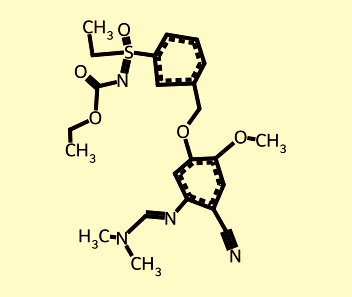 CCOC(=O)N=S(=O)(CC)c1cccc(COc2cc(N=CN(C)C)c(C#N)cc2OC)c1